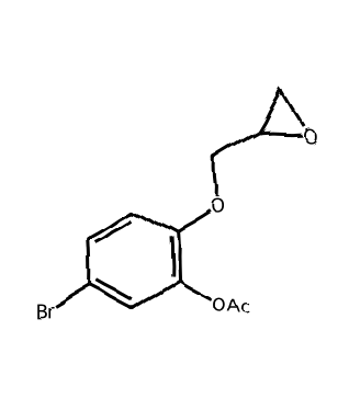 CC(=O)Oc1cc(Br)ccc1OCC1CO1